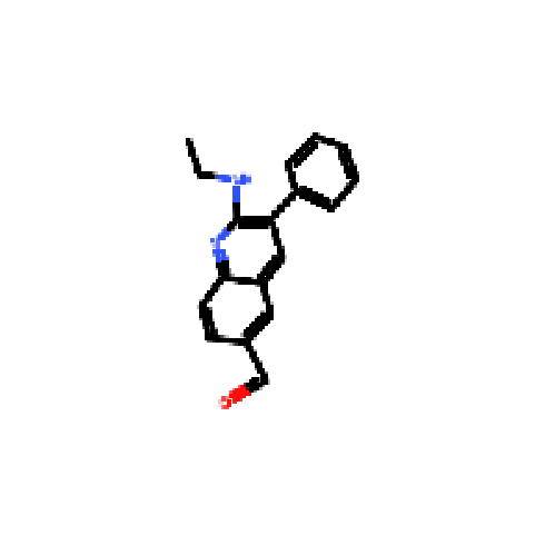 CCNc1nc2ccc(C=O)cc2cc1-c1ccccc1